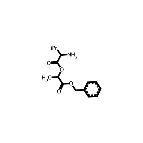 CC(OC(=O)C(N)C(C)C)C(=O)OCc1ccccc1